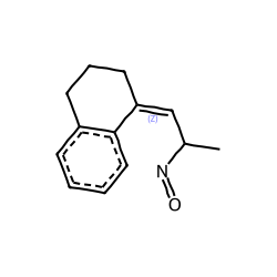 CC(/C=C1/CCCc2ccccc21)N=O